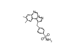 Cc1cc2ncn3ncc(Cc4ccc(S(N)(=O)=O)cc4)c3c2cc1C